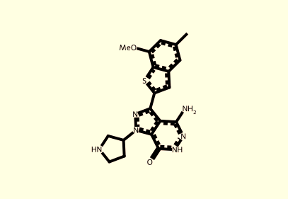 COc1cc(C)cc2cc(-c3nn(C4CCNC4)c4c(=O)[nH]nc(N)c34)sc12